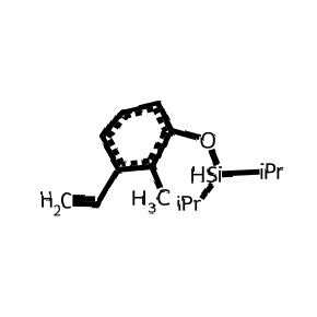 C=Cc1cccc(O[SiH](C(C)C)C(C)C)c1C